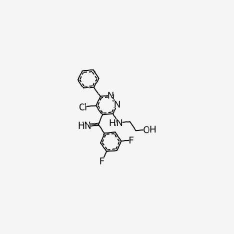 N=C(c1cc(F)cc(F)c1)c1c(NCCO)nnc(-c2ccccc2)c1Cl